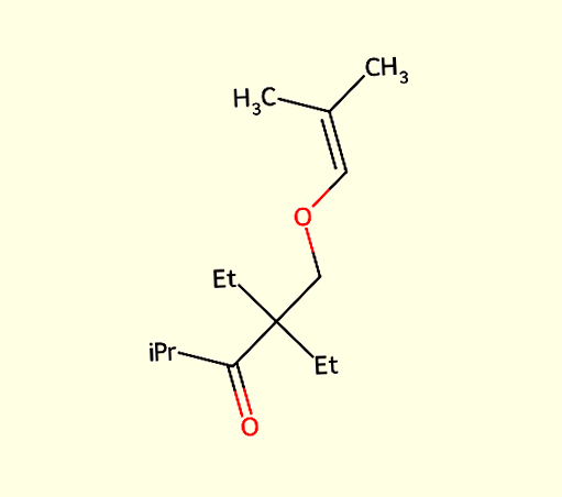 CCC(CC)(COC=C(C)C)C(=O)C(C)C